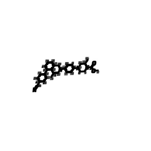 COC(=O)N1CCN(c2ccc(N3C=C(C)c4c(cccc4-c4ccc(C#N)cc4)C3)cc2)C[C@H]1C